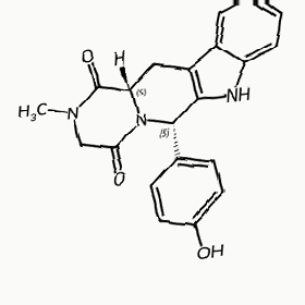 CN1CC(=O)N2[C@@H](c3ccc(O)cc3)c3[nH]c4ccccc4c3C[C@H]2C1=O